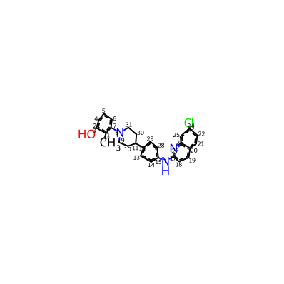 Cc1c(O)cccc1N1CCC(c2ccc(Nc3ccc4ccc(Cl)cc4n3)cc2)CC1